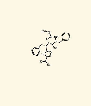 CCC(=O)c1cnc([C@H](Cc2ccccc2)C[C@H](O)[C@H](Cc2ccccc2)NC(=O)OC(C)(C)C)[nH]1